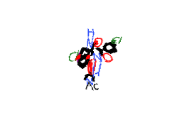 CC(=O)N1CCC(Oc2ccc(I)cc2[C@@H]2NC(=O)[C@@H](C3C=CC=C(Cl)C3)C[C@]23C(=O)Nc2cc(Cl)ccc23)CC1